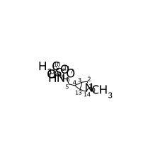 CN1CC2C(CC(=O)NS(C)(=O)=O)C2C1